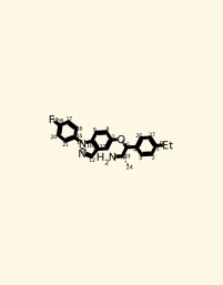 CCc1ccc(C(Oc2ccc3c(cnn3-c3ccc(F)cc3)c2)[C@H](C)N)cc1